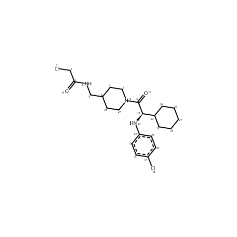 O=C(CCl)NCC1CCN(C(=O)[C@H](Nc2ccc(Cl)cc2)C2CCCCC2)CC1